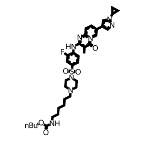 CCCCOC(=O)NCCCCCCN1CCN(S(=O)(=O)c2ccc(Nc3nc4ccc(-c5cnn(C6CC6)c5)cn4c(=O)c3C)c(F)c2)CC1